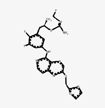 C[C@H](Cc1cc(Nc2nccc3nc(OCc4ncco4)cnc23)cc(F)c1F)S/C(N)=N\CF